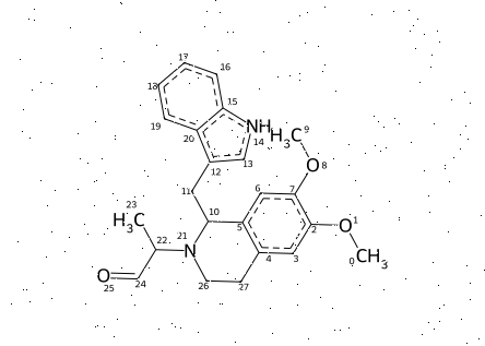 COc1cc2c(cc1OC)C(Cc1c[nH]c3ccccc13)N(C(C)C=O)CC2